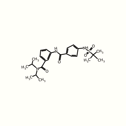 CC(C)N(C(=O)c1cccc(NC(=O)c2ccc(NS(=O)(=O)C(C)(C)C)cc2)c1)C(C)C